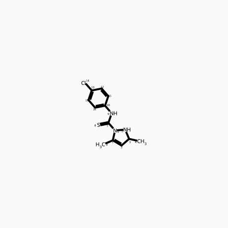 CC1=CC(C)NN1C(=S)Nc1ccc(Cl)cc1